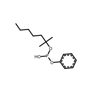 CCCCCC(C)(C)OP(O)Oc1ccccc1